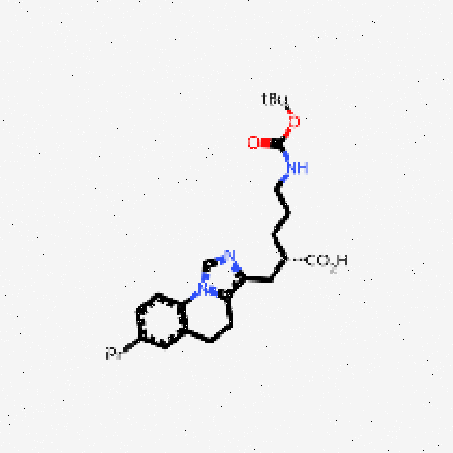 CC(C)c1ccc2c(c1)CCc1c(C[C@H](CCCNC(=O)OC(C)(C)C)C(=O)O)ncn1-2